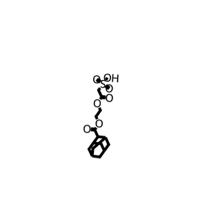 O=C(CS(=O)(=O)O)OCCOC(=O)C1C2CC3CC(C2)CC1C3